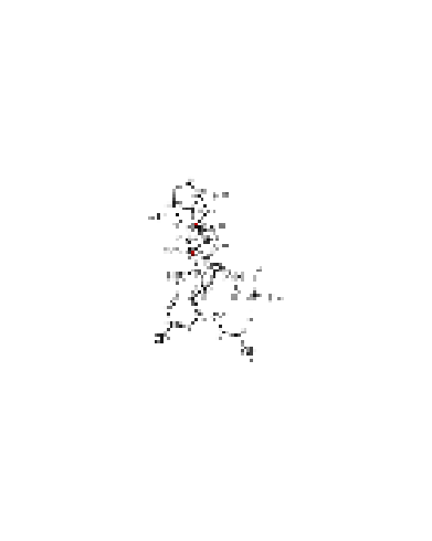 CC(C)(Oc1ccc(Cl)cc1OCCO)C(=O)N[C@H]1C[C@H]2CC[C@@H](C1)N2c1ccc(C(=O)NCC(F)(F)F)cn1